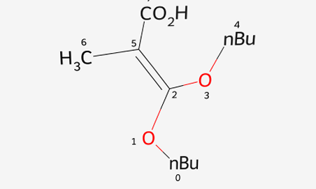 CCCCOC(OCCCC)=C(C)C(=O)O